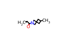 C=CC(=O)N1CC2(CC(C)C2)C1